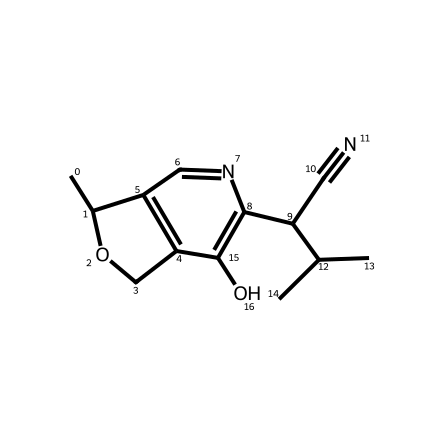 CC1OCc2c1cnc(C(C#N)C(C)C)c2O